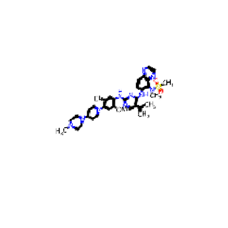 C=C(C)c1cnc(Nc2cc(CC)c(N3CCC(N4CCN(C)CC4)CC3)cc2OC)nc1Nc1ccc2nccnc2c1N(C)S(C)(=O)=O